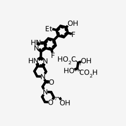 CCc1cc(O)c(F)cc1-c1cc(F)c2c(-c3nc4c([nH]3)CCN(C(=O)CN3CCO[C@@H](CO)C3)C4)n[nH]c2c1.O=C(O)[C@H](O)[C@@H](O)C(=O)O